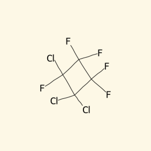 FC1(F)C(F)(F)C(Cl)(Cl)C1(F)Cl